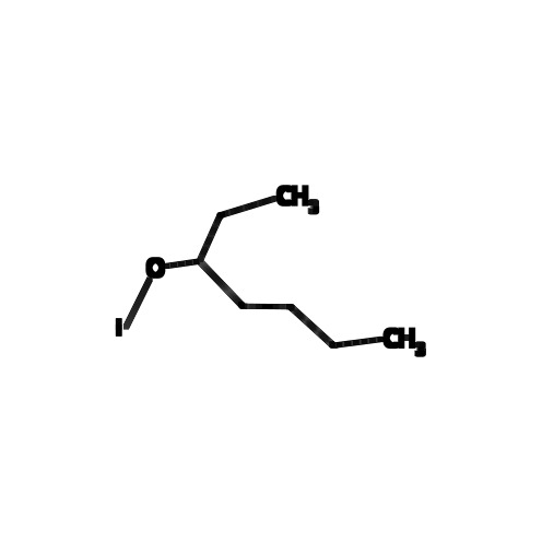 [C]OC(CC)CCCC